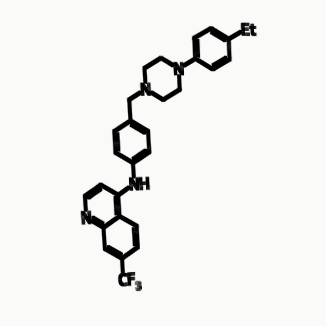 CCc1ccc(N2CCN(Cc3ccc(Nc4ccnc5cc(C(F)(F)F)ccc45)cc3)CC2)cc1